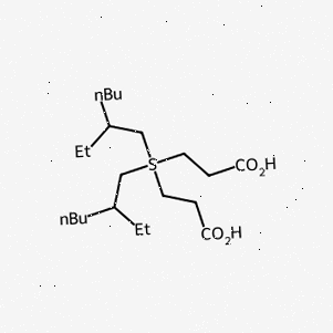 CCCCC(CC)CS(CCC(=O)O)(CCC(=O)O)CC(CC)CCCC